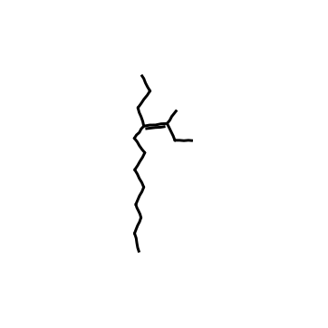 CCCCCCCCC(CCC)=C(C)CC